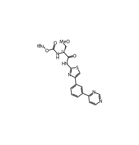 COC[C@H](NC(=O)OC(C)(C)C)C(=O)Nc1nc(-c2cccc(-c3ccncn3)c2)cs1